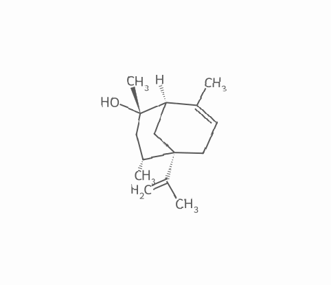 C=C(C)[C@@]12CC=C(C)[C@@H](C1)[C@@](C)(O)C[C@H]2C